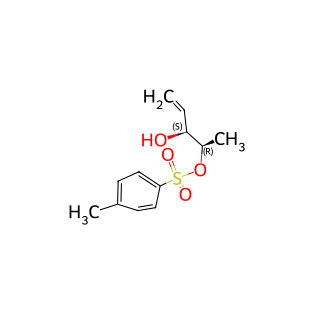 C=C[C@H](O)[C@@H](C)OS(=O)(=O)c1ccc(C)cc1